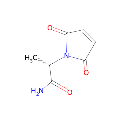 C[C@@H](C(N)=O)N1C(=O)C=CC1=O